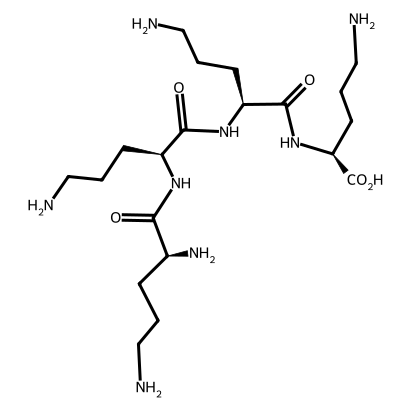 NCCC[C@H](NC(=O)[C@H](CCCN)NC(=O)[C@H](CCCN)NC(=O)[C@@H](N)CCCN)C(=O)O